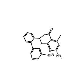 Cc1nc(N)nc2c1C(=O)CC(c1ccccc1-c1cccc(C#N)c1)C2